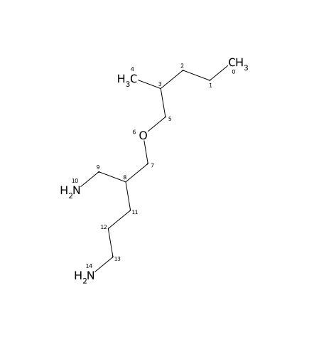 CCCC(C)COCC(CN)CCCN